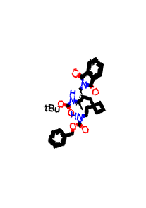 C[C@@H](NC(=O)OC(C)(C)C)[C@H](CN1C(=O)c2ccccc2C1=O)CC1(CCNC(=O)OCc2ccccc2)CCC1